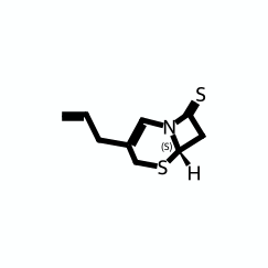 C=CCC1=CN2C(=S)C[C@@H]2SC1